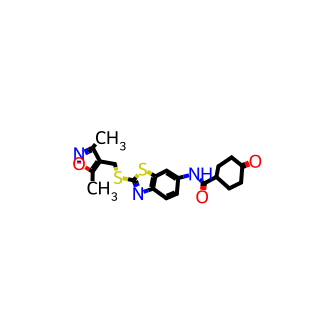 Cc1noc(C)c1CSc1nc2ccc(NC(=O)C3CCC(=O)CC3)cc2s1